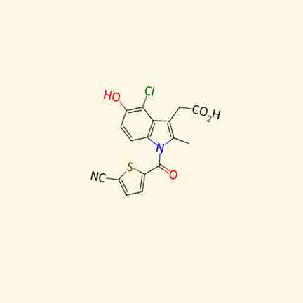 Cc1c(CC(=O)O)c2c(Cl)c(O)ccc2n1C(=O)c1ccc(C#N)s1